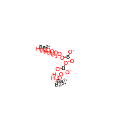 O.O.O.O.O.O.O.[Ba+2].[Ba+2].[Ba+2].[O-]B([O-])[O-].[O-]B([O-])[O-]